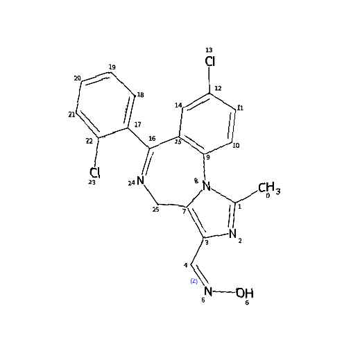 Cc1nc(/C=N\O)c2n1-c1ccc(Cl)cc1C(c1ccccc1Cl)=NC2